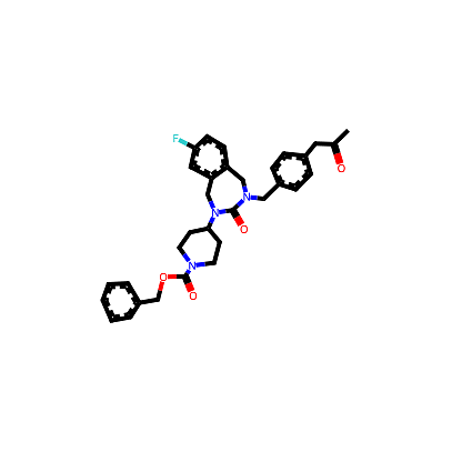 CC(=O)Cc1ccc(CN2Cc3ccc(F)cc3CN(C3CCN(C(=O)OCc4ccccc4)CC3)C2=O)cc1